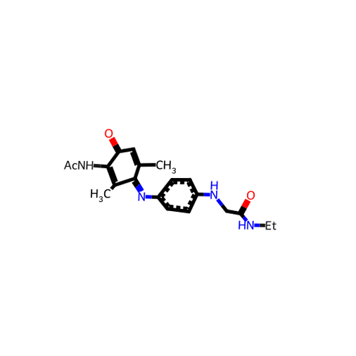 CCNC(=O)CNc1ccc(N=C2C(C)=CC(=O)C(NC(C)=O)=C2C)cc1